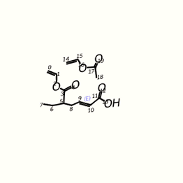 C=COC(=O)C(CC)C/C=C/C(=O)O.C=COC(C)=O